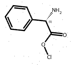 N[C@H](C(=O)OCl)c1ccccc1